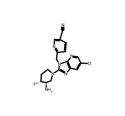 N#Cc1ccc(Cn2c(N3CC[C@@H](F)[C@H](N)C3)nc3cc(Cl)cnc32)nc1